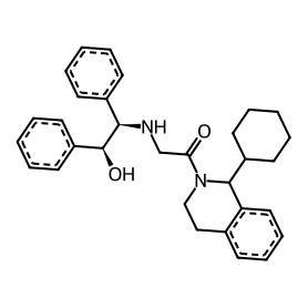 O=C(CN[C@H](c1ccccc1)[C@@H](O)c1ccccc1)N1CCc2ccccc2C1C1CCCCC1